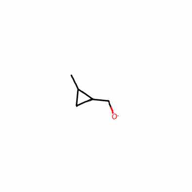 CC1CC1C[O]